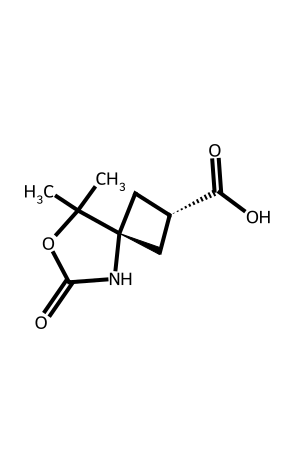 CC1(C)OC(=O)N[C@]12C[C@@H](C(=O)O)C2